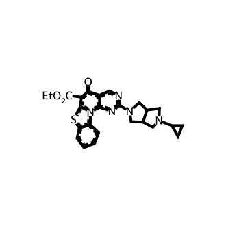 CCOC(=O)c1c(=O)c2cnc(N3CC4CN(C5CC5)CC4C3)nc2n2c1sc1ccccc12